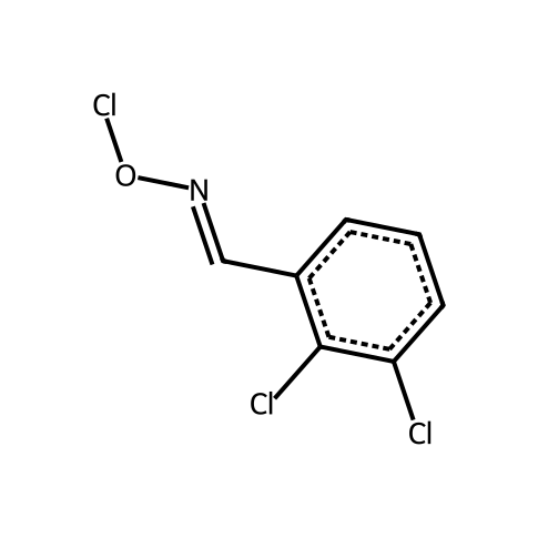 ClON=Cc1cccc(Cl)c1Cl